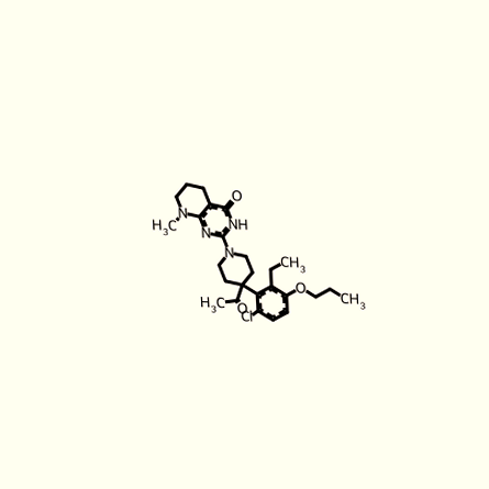 CCCOc1ccc(Cl)c(C2(C(C)=O)CCN(c3nc4c(c(=O)[nH]3)CCCN4C)CC2)c1CC